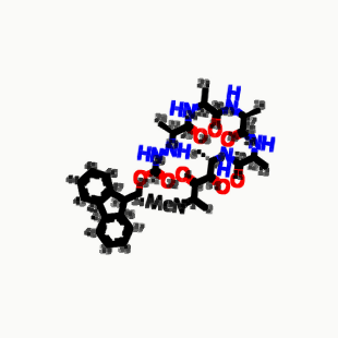 CNC(C)C(=O)C(=O)[C@H](C)NC(=O)C(C)NC(=O)[C@H](C)NC(=O)C(C)NC(=O)[C@H](C)NNC(=O)OCC1c2ccccc2-c2ccccc21